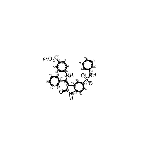 CCOC(=O)c1ccc(NC(=C2C(=O)Nc3ccc(S(=O)(=O)Nc4ccccc4)cc32)c2ccccc2)cc1